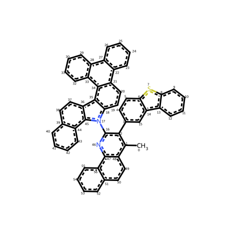 Cc1c(-c2ccc3sc4ccccc4c3c2)c(-n2c3ccc4c5ccccc5c5ccccc5c4c3c3ccc4ccccc4c32)nc2c1ccc1ccccc12